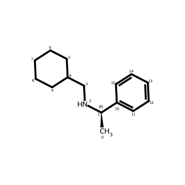 C[C@@H](NCC1CCCCC1)c1ccccc1